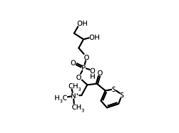 C[N+](C)(C)CC(OP(=O)(O)OCC(O)CO)C(=O)C1=CC=CSS1